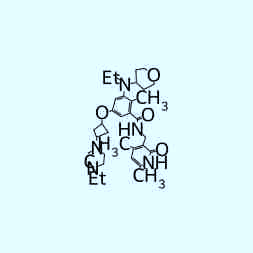 CCN1CCN(C2CC(Oc3cc(C(=O)NCc4c(C)cc(C)[nH]c4=O)c(C)c(N(CC)C4CCOCC4)c3)C2)CC1